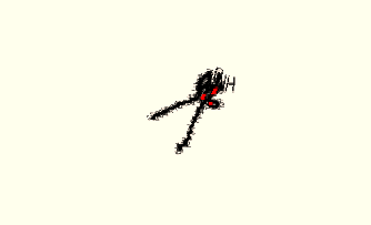 CCCCCCCCCCCCCCCCCCn1c2ccccc2c2c3c(c4c5ccccc5n(CCCCCCCCCCCCCCCCCC)c4c21)C(=O)NC3